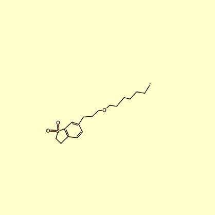 O=S1(=O)CCc2ccc(CCCOCCCCCCI)cc21